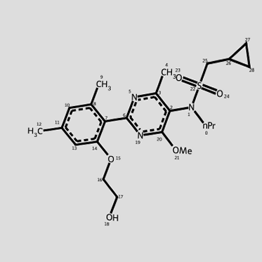 CCCN(c1c(C)nc(-c2c(C)cc(C)cc2OCCO)nc1OC)S(=O)(=O)CC1CC1